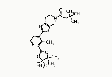 Cc1c(B2OC(C)(C)C(C)(C)O2)cccc1-c1nc2c(s1)CN(C(=O)OC(C)(C)C)CC2